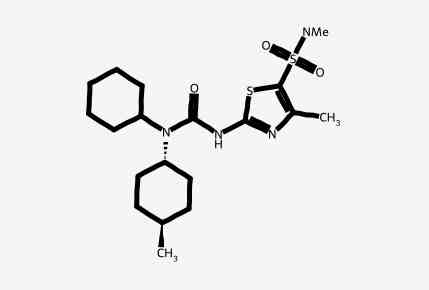 CNS(=O)(=O)c1sc(NC(=O)N(C2CCCCC2)[C@H]2CC[C@H](C)CC2)nc1C